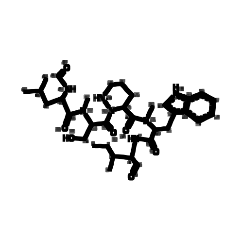 CCC(C)C(C=O)NC(=O)C(Cc1c[nH]c2ccccc12)N(C)C(=O)C1CCCNN1C(=O)C(CO)N(C)C(=O)C(CC(C)C)NC=O